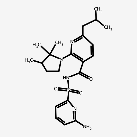 CC(C)Cc1ccc(C(=O)NS(=O)(=O)c2cccc(N)n2)c(N2CCC(C)C2(C)C)n1